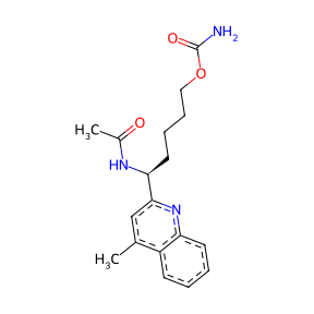 CC(=O)N[C@@H](CCCCOC(N)=O)c1cc(C)c2ccccc2n1